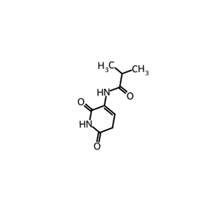 CC(C)C(=O)NC1=CCC(=O)NC1=O